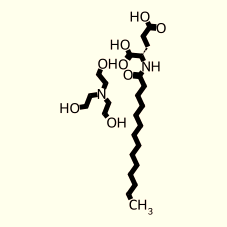 CCCCCCCCCCCCCC(=O)N[C@@H](CCC(=O)O)C(=O)O.OCCN(CCO)CCO